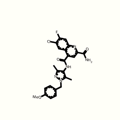 COc1ccc(Cn2nc(C)c(NC(=O)c3cc(C(N)=O)nc4cc(F)c(Cl)cc34)c2C)cc1